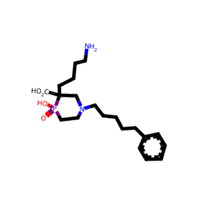 NCCCCC1(C(=O)O)CN(CCCCCc2ccccc2)CCP1(=O)O